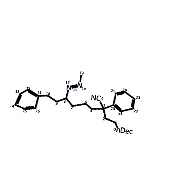 CCCCCCCCCCCCC(C#N)(CCCC(CCc1ccccc1)/N=N/C)c1ccccc1